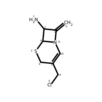 C=C1C(N)C2SCC(CCl)=CN12